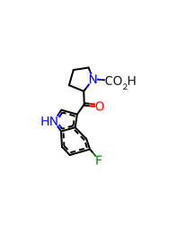 O=C(c1c[nH]c2ccc(F)cc12)C1CCCN1C(=O)O